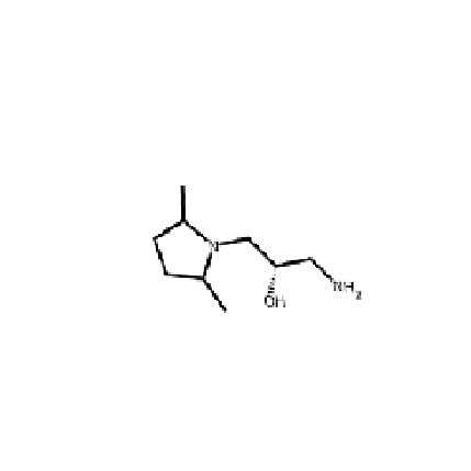 CC1CCC(C)N1C[C@@H](O)CN